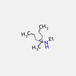 C=CC[Si](C)(CC=C)NCC